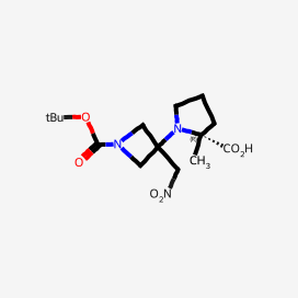 CC(C)(C)OC(=O)N1CC(C[N+](=O)[O-])(N2CCC[C@]2(C)C(=O)O)C1